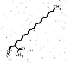 CCCCCCCCCCCCCC(C=[N+]=[N-])C(C)=O